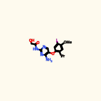 COc1cc(C(C)C)c(Oc2cnc(NC(=O)CO)nc2N)cc1I